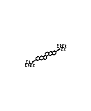 CC[Si](C#Cc1ccc2cc3c(ccc4c5cc6ccc(C#C[Si](CC)(CC)CC)cc6cc5ccc34)cc2c1)(CC)CC